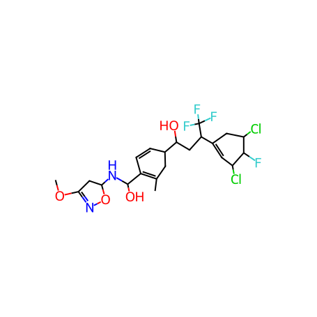 COC1=NOC(NC(O)C2=C(C)CC(C(O)CC(C3=CC(Cl)C(F)C(Cl)C3)C(F)(F)F)C=C2)C1